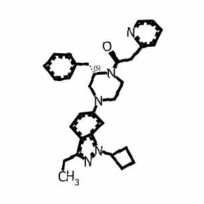 CCc1nn(C2CCC2)c2cc(N3CCN(C(=O)Cc4ccccn4)[C@@H](Cc4ccccc4)C3)ccc12